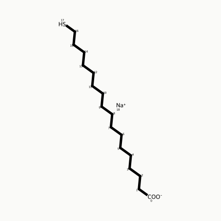 O=C([O-])CCCCCCCCCCCCCCCCS.[Na+]